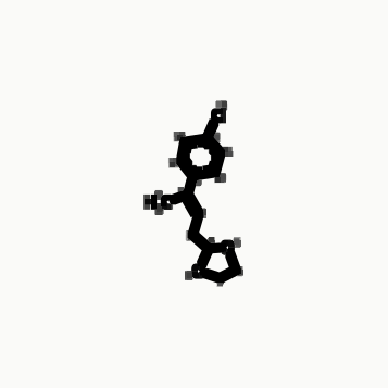 CC(=CC[C]1OCCO1)c1ccc(Cl)cc1